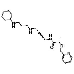 C[C@H](NCc1ccccn1)C(=O)NCC#CCNCCCNC1CCCCC1